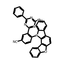 CC(C)(C)c1nc(-c2ccccc2)nc(-c2cc(C#N)ccc2-n2c3ccccc3c3ccc4oc5ccccc5c4c32)n1